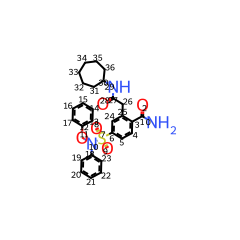 NC(=O)c1ccc(S(=O)(=O)N(Oc2ccccc2)c2ccccc2)cc1CC(=O)NC1CCCCCC1